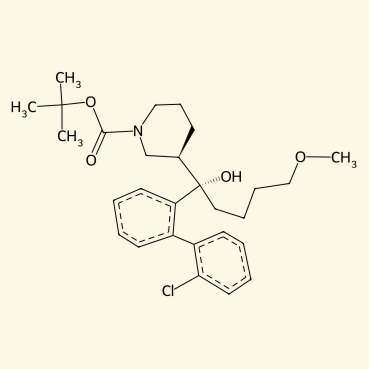 COCCCC[C@@](O)(c1ccccc1-c1ccccc1Cl)[C@@H]1CCCN(C(=O)OC(C)(C)C)C1